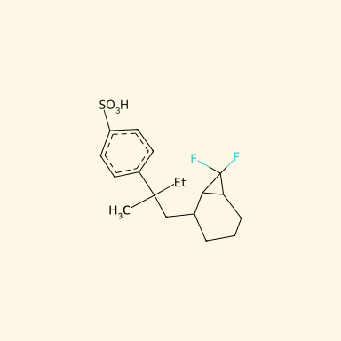 CCC(C)(CC1CCCC2C1C2(F)F)c1ccc(S(=O)(=O)O)cc1